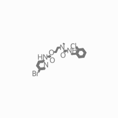 CN(CCOC(=O)Nc1ccc(Br)cn1)C(=O)NCc1ccccc1Cl